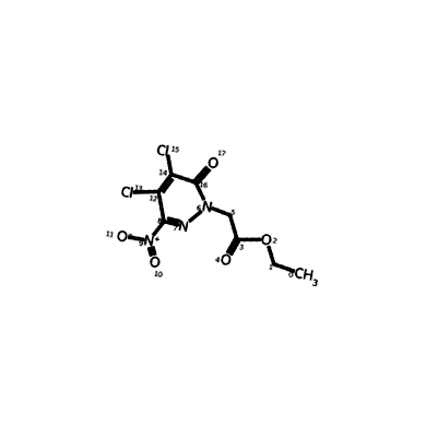 CCOC(=O)Cn1nc([N+](=O)[O-])c(Cl)c(Cl)c1=O